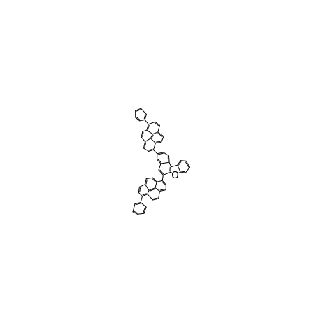 c1ccc(-c2ccc3ccc4c(-c5ccc6c(c5)cc(-c5ccc7ccc8c(-c9ccccc9)ccc9ccc5c7c98)c5oc7ccccc7c56)ccc5ccc2c3c54)cc1